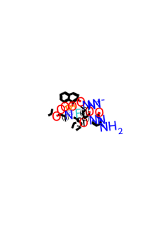 CC[Si](CC)(CC)O[C@H]1C(n2ccc(N)nc2=O)O[C@@](COc2ccc3ccccc3c2O/[P+]([O-])=N/[C@@H](C)C(=O)OC(C)C)(N=[N+]=[N-])[C@H]1F